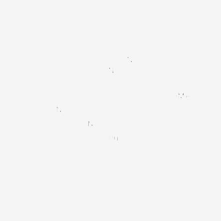 CCCCn1c(C=NN2CCCC2COC)cnc1-c1ccccc1